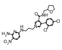 Nc1nc(NCCCn2cc(C(=O)NCC3CCCO3)c(-c3ccc(Cl)cc3Cl)c2)ccc1[N+](=O)[O-]